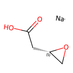 O=C(O)C[C@H]1CO1.[Na]